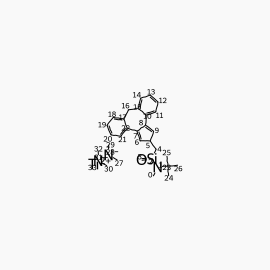 CN([Si](=O)CC1C=C2C(=C1)c1ccccc1Cc1ccccc12)C(C)(C)C.C[N-]C.C[N-]C.[Ti+2]